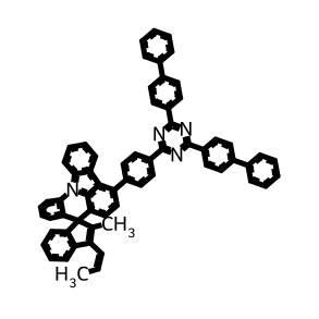 C/C=C\C1=C(C)C2(c3ccccc31)c1ccccc1-n1c3ccccc3c3c(-c4ccc(-c5nc(-c6ccc(-c7ccccc7)cc6)nc(-c6ccc(-c7ccccc7)cc6)n5)cc4)ccc2c31